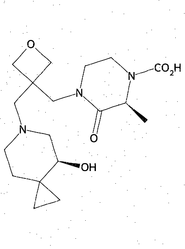 C[C@H]1C(=O)N(CC2(CN3CCC4(CC4)[C@H](O)C3)COC2)CCN1C(=O)O